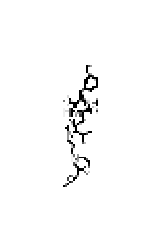 CCOCC1CN(CCCn2cnc(/C=c3\[nH]c(=O)/c(=C/c4cccc(F)c4)[nH]c3=O)c2C(C)C)CCO1